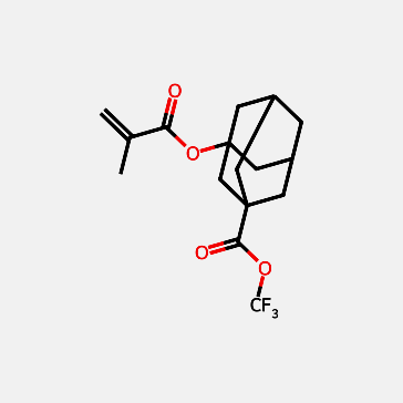 C=C(C)C(=O)OC12CC3CC(C1)CC(C(=O)OC(F)(F)F)(C3)C2